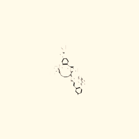 COC(=O)Nc1ccc2c(c1)NC(=O)[C@H](C)CCC[C@H](NC(=O)C=Cc1cc(Cl)ccc1-n1cnnn1)c1nc-2c[nH]1